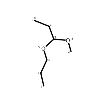 [CH2]CC(OC)OCCC